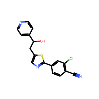 N#Cc1ccc(-c2ncc(CC(O)c3ccncc3)s2)cc1Cl